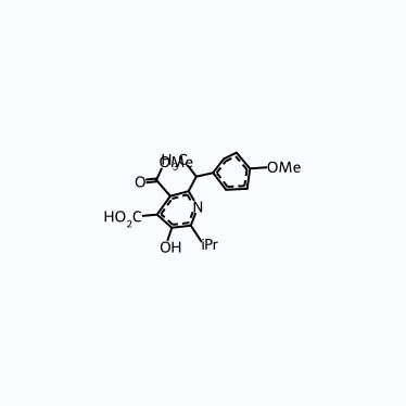 COC(=O)c1c(C(C)c2ccc(OC)cc2)nc(C(C)C)c(O)c1C(=O)O